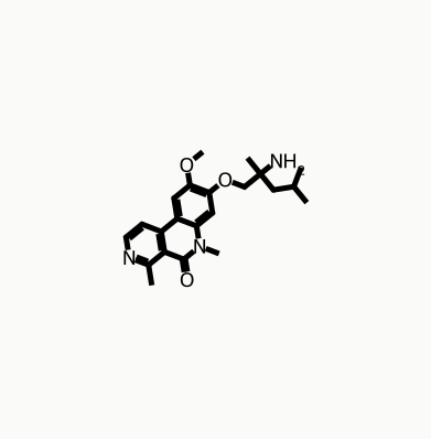 COc1cc2c3ccnc(C)c3c(=O)n(C)c2cc1OCC(C)(N)CC(C)C